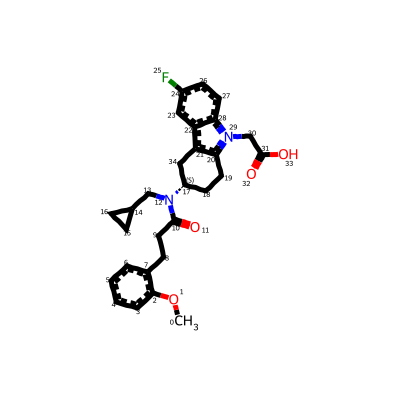 COc1ccccc1CCC(=O)N(CC1CC1)[C@H]1CCc2c(c3cc(F)ccc3n2CC(=O)O)C1